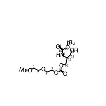 COCCOCCOC(=O)OCC(CO)NC(=O)OC(C)(C)C